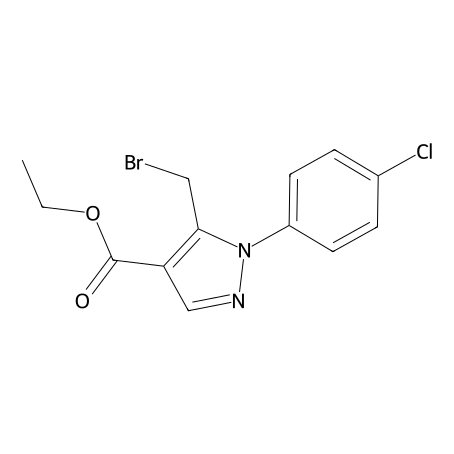 CCOC(=O)c1cnn(-c2ccc(Cl)cc2)c1CBr